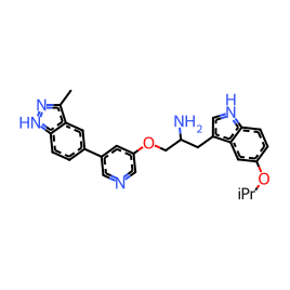 Cc1n[nH]c2ccc(-c3cncc(OCC(N)Cc4c[nH]c5ccc(OC(C)C)cc45)c3)cc12